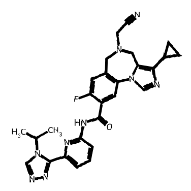 CC(C)n1cnnc1-c1cccc(NC(=O)c2cc3c(cc2F)CN(CC#N)Cc2c(C4CC4)ncn2-3)n1